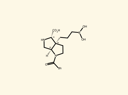 CC(C)C(=O)N1CC[C@]2(CCCB(O)O)[C@@H](C(=O)O)NC[C@H]12